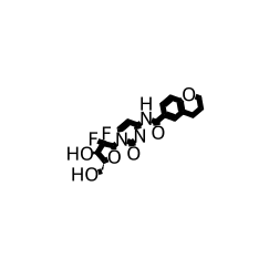 O=C(Nc1ccn(C2O[C@H](CO)[C@@H](O)C2(F)F)c(=O)n1)c1ccc2c(c1)CCCO2